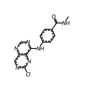 CNC(=O)c1ccc(Nc2ncnc3cnc(Cl)nc23)cc1